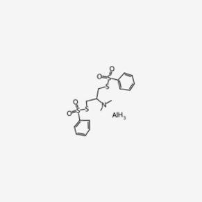 CN(C)C(CSS(=O)(=O)c1ccccc1)CSS(=O)(=O)c1ccccc1.[AlH3]